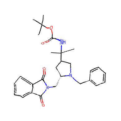 CC(C)(C)OC(=O)NC(C)(C)C1C[C@@H](CN2C(=O)c3ccccc3C2=O)N(Cc2ccccc2)C1